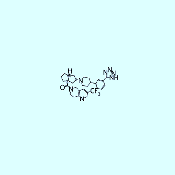 O=C(N1CCc2ncc(C(F)(F)F)cc2C1)[C@@]12CCC[C@@H]1C[C@H](N1CCC(c3cccc(-c4nnn[nH]4)c3)CC1)C2